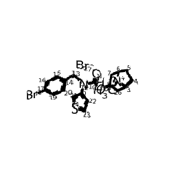 C[N+]1(C)C2CCC1CC(OC(=O)N(Cc1ccc(Br)cc1)c1ccsc1)C2.[Br-]